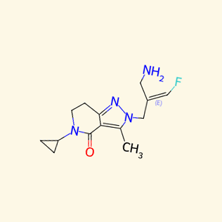 Cc1c2c(nn1C/C(=C/F)CN)CCN(C1CC1)C2=O